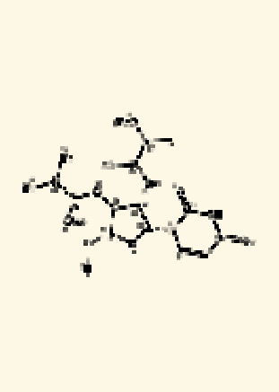 [2H]C[C@H]1O[C@@H](N2C=CC(=O)NC2=C)[C@@H](OC(=S)N(C)OC)C1OP(OC)N(C(C)C)C(C)C